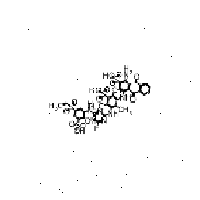 C=CS(=O)(=O)c1cc(Nc2nc(F)nc(Nc3c(C)c(Nc4cc(S(=O)(=O)O)c(N)c5c4C(=O)c4ccccc4C5=O)c(C)c(S(=O)(=O)O)c3C)n2)c(O)c(S(=O)(=O)O)c1